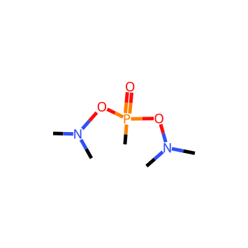 CN(C)OP(C)(=O)ON(C)C